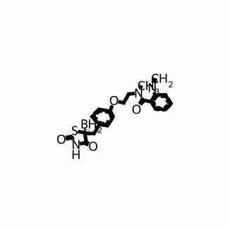 B[C@@]1(Cc2ccc(OCCN(C)C(=O)c3ccccc3N=C)cc2)SC(=O)NC1=O